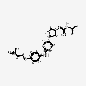 CC(C)NC(=O)O[C@H]1CO[C@@H](c2cnc(Nc3ccc(OCCN(C)C)cc3)nc2)C1